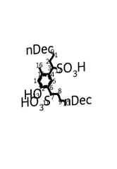 CCCCCCCCCCCCC(c1cc(C(CCCCCCCCCCCC)S(=O)(=O)O)c(O)cc1C)S(=O)(=O)O